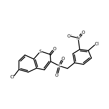 O=c1sc2ccc(Cl)cc2cc1S(=O)(=O)Cc1ccc(Cl)c([N+](=O)[O-])c1